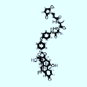 C[C@H](NC(=O)CCN1C(=O)C=CC1=O)C(=O)N[C@@H](C)C(=O)Nc1ccc(Sc2ccc([C@H]3O[C@@H]4C[C@H]5[C@@H]6C[C@H](F)C7=CC(=O)C=C[C@]7(C)[C@@]6(F)[C@@H](O)C[C@]5(C)[C@]4(C(=O)CO)O3)cc2)cc1